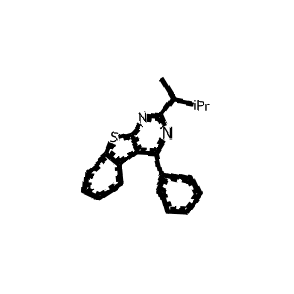 CC(C)C(C)c1nc(-c2ccccc2)c2c(n1)sc1ccccc12